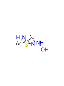 CC(=O)c1sc2nc(NCCO)cc(C)c2c1N